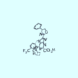 C[C@@H](Nc1nc(C(=O)O)nc2nc(C3=NC(c4ccccc4)CO3)n(Cc3ccc(C(F)(F)F)cc3)c12)C1CCC1